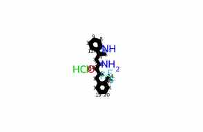 Cl.NC(Cc1c[nH]c2ccccc12)C(=O)CCc1ccccc1C(F)(F)F